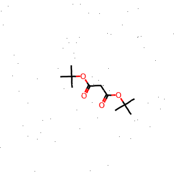 CC(C)(C)OC(=O)[CH]C(=O)OC(C)(C)C